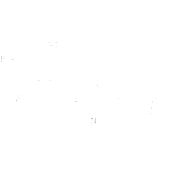 Fc1cccc(Cc2nc3ccccc3o2)c1F